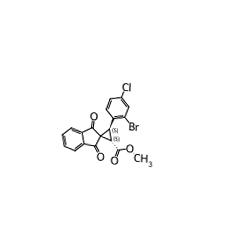 COC(=O)[C@H]1[C@H](c2ccc(Cl)cc2Br)C12C(=O)c1ccccc1C2=O